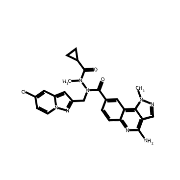 CN(C(=O)C1CC1)N(Cc1cc2cc(Cl)ccn2n1)C(=O)c1ccc2nc(N)c3cnn(C)c3c2c1